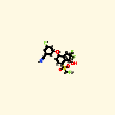 N#Cc1cc(F)cc(Oc2ccc(S(=O)(=O)CF)c3c2CC(F)(F)[C@H]3O)c1